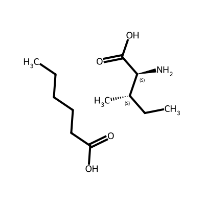 CCCCCC(=O)O.CC[C@H](C)[C@H](N)C(=O)O